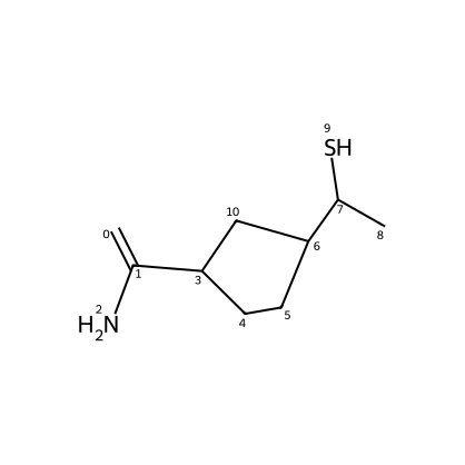 C=C(N)C1CCC(C(C)S)C1